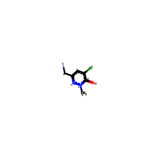 Cn1nc(CI)cc(Br)c1=O